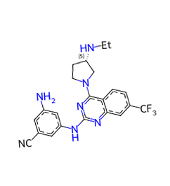 CCN[C@H]1CCN(c2nc(Nc3cc(N)cc(C#N)c3)nc3cc(C(F)(F)F)ccc23)C1